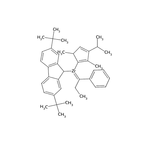 CC[C](c1ccccc1)=[Zr]([C]1=C(C)C(C(C)C)=CC1C)[CH]1c2cc(C(C)(C)C)ccc2-c2ccc(C(C)(C)C)cc21